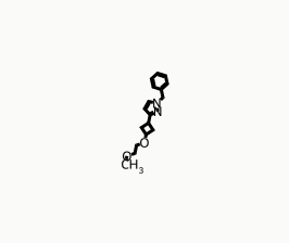 COCCOC1CC(c2ccn(Cc3ccccc3)n2)C1